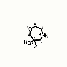 C[C@]1(O)CNCCOC1